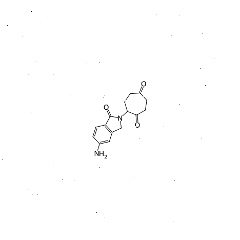 Nc1ccc2c(c1)CN(C1CCC(=O)CCC1=O)C2=O